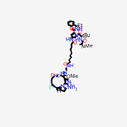 C=C1/C=C(F)\C=C/CC(=O)N(C)Cc2nn(CCNC(=O)CCCCCCCCC(=O)N[C@@H]3C[C@H](C(=O)N[C@@H](CC)c4ccccc4)N(C(=O)C(NC(=O)[C@@H](C)NC)C(C)(C)C)C3)c(OC)c2-c2cnc(N)c(c2)N2CCC[C@H]12